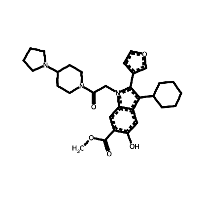 COC(=O)c1cc2c(cc1O)c(C1CCCCC1)c(-c1ccoc1)n2CC(=O)N1CCC(N2CCCC2)CC1